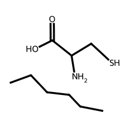 CCCCCC.NC(CS)C(=O)O